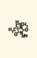 CCCN1C(=O)N(C)C(C)(C)C1=O